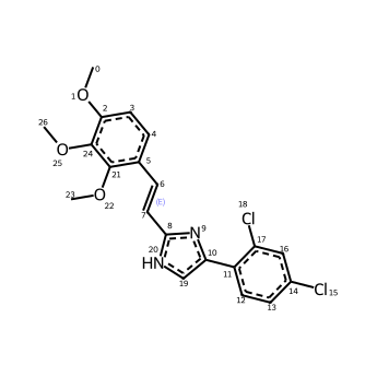 COc1ccc(/C=C/c2nc(-c3ccc(Cl)cc3Cl)c[nH]2)c(OC)c1OC